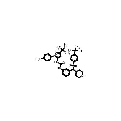 Cc1ccc(-n2nc(C(C)(C)C)cc2NC(=O)Nc2cccc(C(C3CCNCC3)S(=O)(=O)c3ccc(C(C)(C)C)cc3)c2)cc1